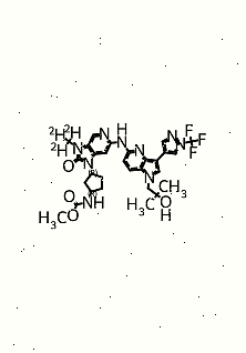 [2H]C([2H])([2H])n1c(=O)n([C@@H]2CC[C@@H](NC(=O)OC)C2)c2cc(Nc3ccc4c(n3)c(-c3cnn(C(F)(F)F)c3)cn4CC(C)(C)O)ncc21